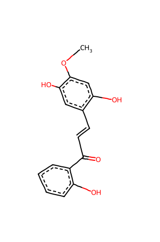 COc1cc(O)c(/C=C/C(=O)c2ccccc2O)cc1O